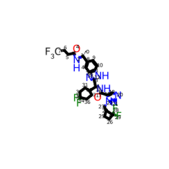 C[C@@H](NC(=O)CCC(F)(F)F)c1ccc2[nH]c([C@@H](NC(=O)c3cnnn3CC3CCC3(F)F)C3CCC(F)(F)CC3)nc2c1